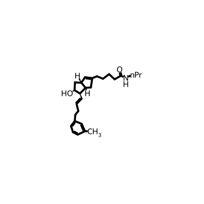 CCCNC(=O)CCCCC1=C[C@H]2C[C@@H](O)[C@H](/C=C/CCc3cccc(C)c3)[C@H]2C1